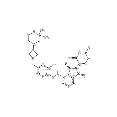 CC1(C)CN(C2CN(Cc3ccc(CNc4cccc5c4C(=O)N(C4CCC(=O)NC4=O)C5=O)c(F)c3)C2)CCO1